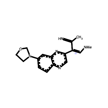 CN/C=C(\C(C)=N)c1cnc2ccc(N3CCOC3)cc2n1